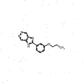 CCCOc1cccc(-c2nc3cnncc3[nH]2)c1